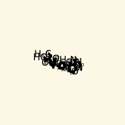 CCC(C(=O)O)n1ccn(-c2ccc(N3CCOc4ncnc(N)c4C3=O)cc2)c1=O